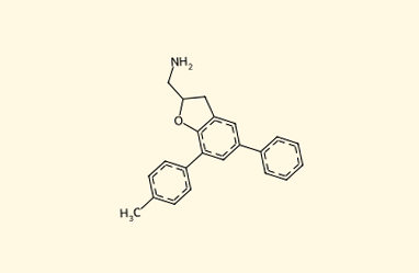 Cc1ccc(-c2cc(-c3ccccc3)cc3c2OC(CN)C3)cc1